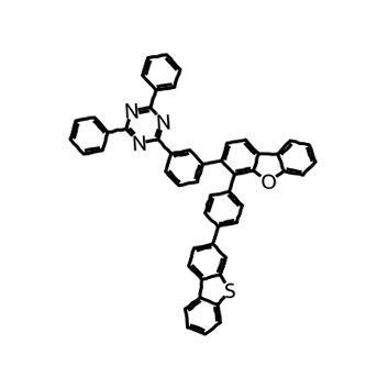 c1ccc(-c2nc(-c3ccccc3)nc(-c3cccc(-c4ccc5c(oc6ccccc65)c4-c4ccc(-c5ccc6c(c5)sc5ccccc56)cc4)c3)n2)cc1